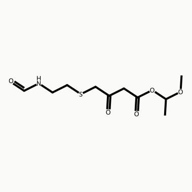 COC(C)OC(=O)CC(=O)CSCCNC=O